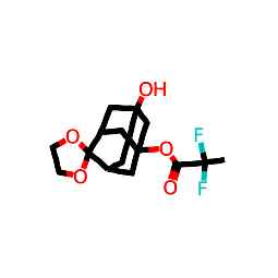 CC(F)(F)C(=O)OC12CC3CC(O)(CC(C1)C31OCCO1)C2